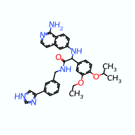 CCOc1cc(C(Nc2ccc3c(N)nccc3c2)C(=O)NCc2cccc(-c3c[nH]cn3)c2)ccc1OC(C)C